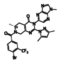 Cc1cc(C)n(-c2nc3c(c(=O)n2-c2cnc4c(ncn4C)n2)C[C@@H](C)N(C(=O)c2ccc(Br)c(C(F)(F)F)c2)C3)n1